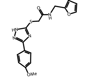 COc1ccc(-c2n[nH]c(SCC(=O)NCc3ccco3)n2)cc1